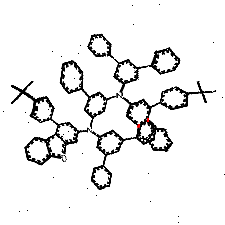 CC(C)(C)c1ccc(-c2cc(N(c3cc(-c4ccccc4)cc(-c4ccccc4)c3)c3cc(-c4ccccc4)cc(N(c4cc(-c5ccccc5)cc(-c5ccccc5)c4)c4cc(-c5ccc(C(C)(C)C)cc5)c5c(c4)oc4ccccc45)c3)cc3oc4ccccc4c23)cc1